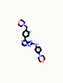 Fc1cc(-c2nccn3nc(Nc4ccc(N5CCOCC5)cc4)nc23)ccc1CN1CCOCC1